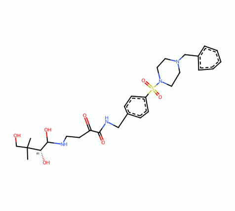 CC(C)(CO)[C@@H](O)C(O)NCCC(=O)C(=O)NCc1ccc(S(=O)(=O)N2CCN(Cc3ccccc3)CC2)cc1